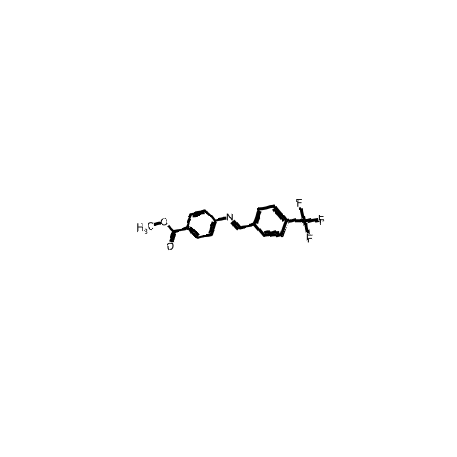 COC(=O)c1ccc(N=Cc2ccc(C(F)(F)F)cc2)cc1